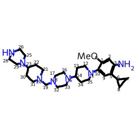 COc1cc(N)c(C2CC2)cc1N1CCC(N2CCN(CN3CCC(N4CCNCC4)CC3)CC2)CC1